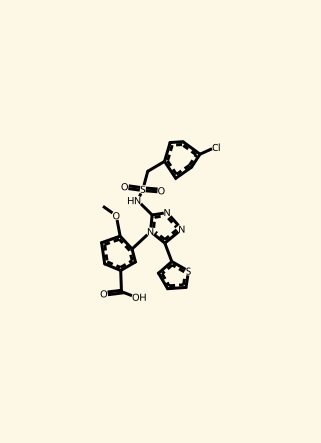 COc1ccc(C(=O)O)cc1-n1c(NS(=O)(=O)Cc2ccc(Cl)cc2)nnc1-c1cccs1